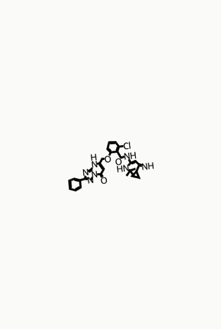 CC(C)(C)N/C(=C\C(=N)C1CC1)NC(=O)c1c(Cl)cccc1OCc1cc(=O)n2nc(-c3ccccc3)nc2[nH]1